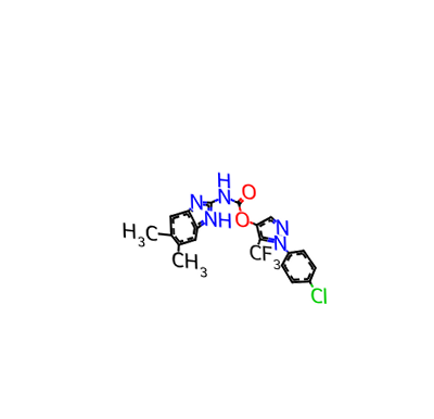 Cc1cc2nc(NC(=O)Oc3cnn(-c4ccc(Cl)cc4)c3C(F)(F)F)[nH]c2cc1C